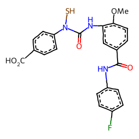 COc1ccc(C(=O)Nc2ccc(F)cc2)cc1NC(=O)N(S)c1ccc(C(=O)O)cc1